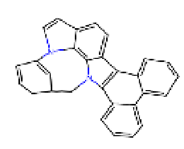 C1=CC2=CC(C1)Cn1c3c4ccccc4c4ccccc4c3c3ccc4ccn2c4c31